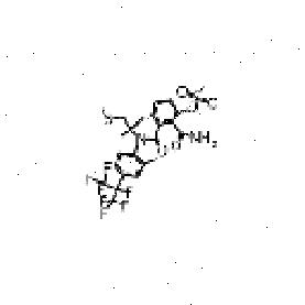 CSCC(C)(C)N(C(=O)c1cccc(OS(C)(=O)=O)c1C(N)=O)c1ccc(C(F)(C(F)(F)F)C(F)(F)F)cc1C